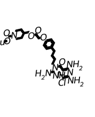 CC(C)(C)OC(=O)N1CCC(COC(=O)COc2ccc(CCCCN(C(=N)N)C(=O)c3nc(Cl)c(N)nc3N)cc2)CC1